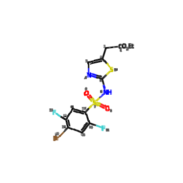 CCOC(=O)Cc1cnc(NS(=O)(=O)c2cc(F)c(Br)cc2F)s1